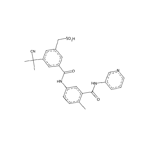 Cc1ccc(NC(=O)c2cc(CS(=O)(=O)O)cc(C(C)(C)C#N)c2)cc1C(=O)Nc1cccnc1